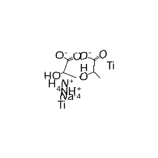 CC(O)C(=O)[O-].CC(O)C(=O)[O-].[NH4+].[NH4+].[Na].[Ti].[Ti]